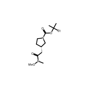 CCC(C)(C)OC(=O)N1CC[C@@H](CC(=O)N(C)OC)C1